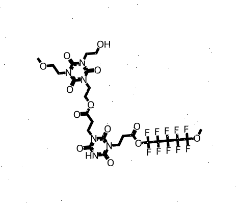 COCCn1c(=O)n(CCO)c(=O)n(CCOC(=O)CCn2c(=O)[nH]c(=O)n(CCC(=O)OC(F)(F)C(F)(F)C(F)(F)C(F)(F)C(F)(F)OC)c2=O)c1=O